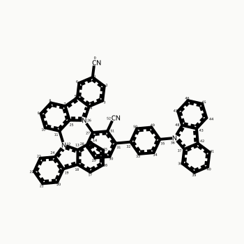 N#Cc1ccc2c(c1)c1cccc(-n3c4ccccc4c4ccccc43)c1n2-c1cccc(-c2ccc(-n3c4ccccc4c4ccccc43)cc2)c1C#N